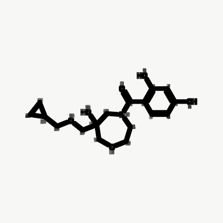 O=C(c1ccc(O)cc1O)N1CCOCC(O)(COCC2CC2)C1